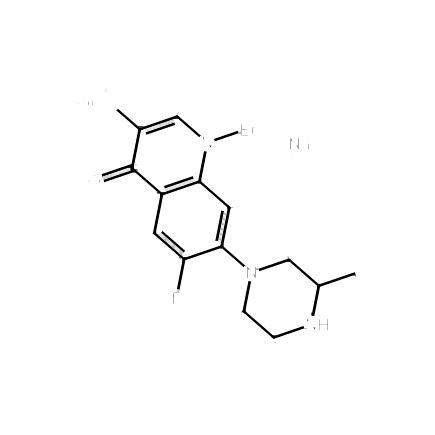 CCn1cc(C(=O)[O-])c(=O)c2cc(F)c(N3CCNC(C)C3)cc21.[Na+]